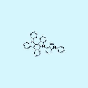 c1ccc(-n2cnc3c(-n4c5ccccc5c5c4c4ccccc4c4c6ccccc6n(-c6ccccc6)c45)cccc32)cc1